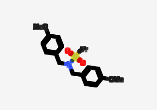 COc1ccc(CN(Cc2ccc(OC)cc2)S(=O)(=O)C(C)C)cc1